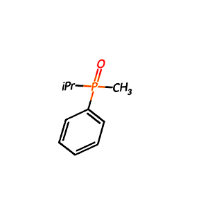 CC(C)P(C)(=O)c1ccccc1